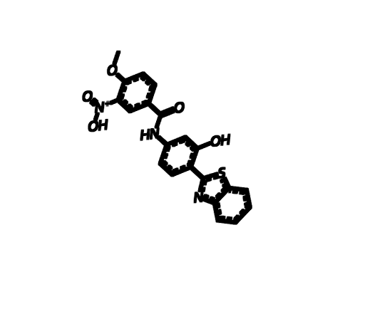 COc1ccc(C(=O)Nc2ccc(-c3nc4ccccc4s3)c(O)c2)cc1[N+](=O)O